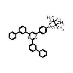 CC1(C)OB(c2ccc(-c3cc(-c4cccc(-c5ccccc5)c4)nc(-c4cccc(-c5ccccc5)c4)n3)cc2)OC1(C)C